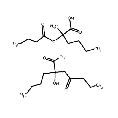 CCCCC(C)(OC(=O)CCC)C(=O)O.CCCCC(O)(CC(=O)CCC)C(=O)O